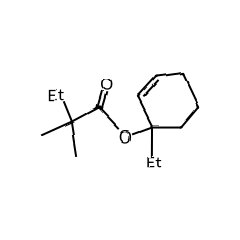 CCC1(OC(=O)C(C)(C)CC)C=CCCC1